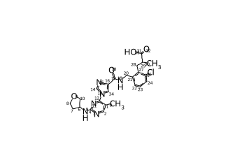 Cc1cnc(NC2CCOC2)nc1-n1cnc(C(=O)NCc2cccc(Cl)c2C[C@H](C)C(=O)O)c1